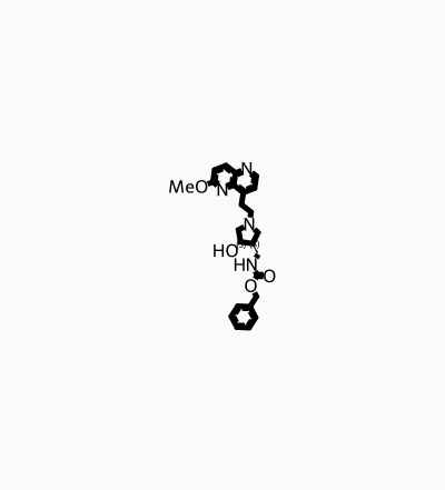 COc1ccc2nccc(CCN3C[C@H](CNC(=O)OCc4ccccc4)[C@H](O)C3)c2n1